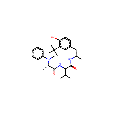 CC(Cc1ccc(O)c(C(C)(C)C)c1)NC(=O)C(NC(=O)[C@H](C)N(C)c1ccccc1)C(C)C